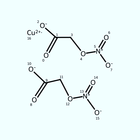 O=C([O-])CO[N+](=O)[O-].O=C([O-])CO[N+](=O)[O-].[Cu+2]